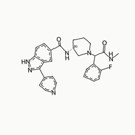 CNC(=O)C(c1ccccc1F)N1CCC[C@@H](NC(=O)c2ccc3[nH]nc(-c4ccncc4)c3c2)C1